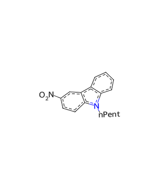 CCCCCn1c2ccccc2c2cc([N+](=O)[O-])ccc21